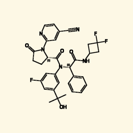 CC(C)(O)c1cc(F)cc(N(C(=O)[C@@H]2CCC(=O)N2c2cc(C#N)ccn2)[C@H](C(=O)NC2CC(F)(F)C2)c2ccccc2)c1